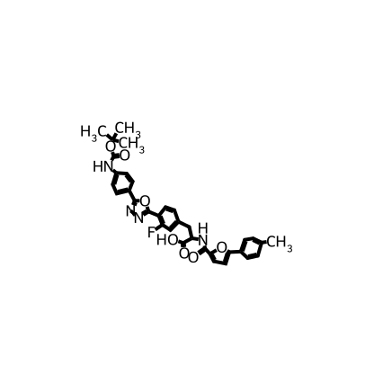 Cc1ccc(-c2ccc(C(=O)NC(Cc3ccc(-c4nnc(-c5ccc(NC(=O)OC(C)(C)C)cc5)o4)c(F)c3)C(=O)O)o2)cc1